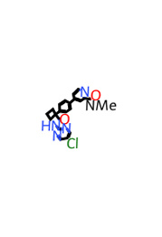 CNC(=O)c1cc(-c2ccc(C3(C(=O)Nc4ncc(Cl)cn4)CCC3)cc2)ccn1